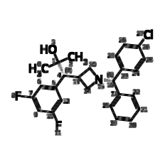 CC(C)(O)[C@@H](c1cc(F)cc(F)c1)C1CN([C@@H](c2ccccc2)c2ccc(Cl)cc2)C1